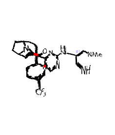 CN/C=C(\C=N)Nc1nccc(C2=CC3CCC(C2)N3C(=O)c2ccc(C(F)(F)F)cn2)n1